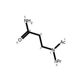 CCCN(CCC(N)=O)C(C)=O